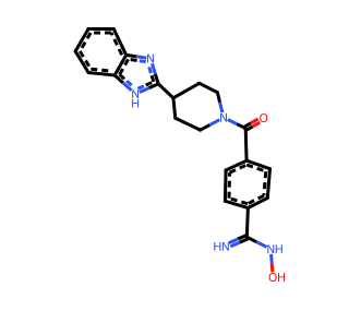 N=C(NO)c1ccc(C(=O)N2CCC(c3nc4ccccc4[nH]3)CC2)cc1